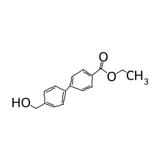 CCOC(=O)c1ccc(-c2ccc(CO)cc2)cc1